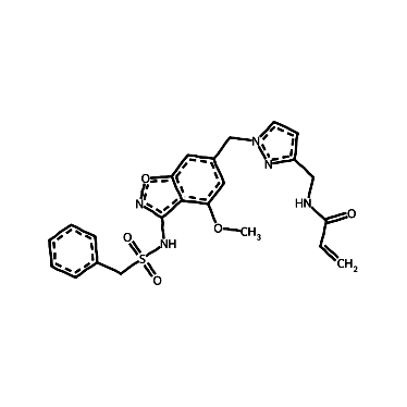 C=CC(=O)NCc1ccn(Cc2cc(OC)c3c(NS(=O)(=O)Cc4ccccc4)noc3c2)n1